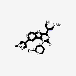 CC[C@H]1C[C@@H](n2c(=O)nc(/C(C=N)=C/NC)c3oc4cnc(-c5cnn(C)c5)cc4c32)CCO1